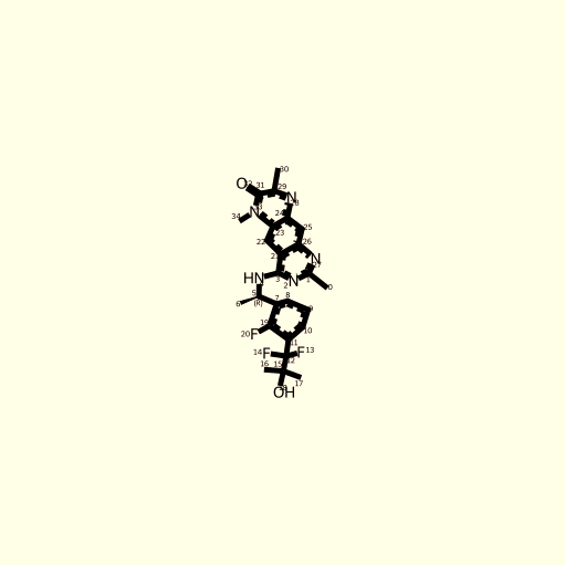 Cc1nc(N[C@H](C)c2cccc(C(F)(F)C(C)(C)O)c2F)c2cc3c(cc2n1)nc(C)c(=O)n3C